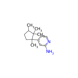 CC1CCC(C)(c2ccnc(N)c2)C1(C)C